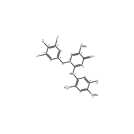 COc1cc(C)c(Nc2nc(=O)c(OC)cn2Cc2cc(F)c(F)c(F)c2)cc1Cl